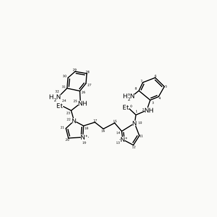 CCC(Nc1ccccc1N)N1C=C[N+]=C1CCCC1=[N+]C=CN1C(CC)Nc1ccccc1N